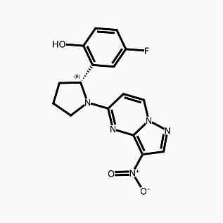 O=[N+]([O-])c1cnn2ccc(N3CCC[C@@H]3c3cc(F)ccc3O)nc12